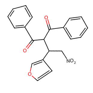 O=C(c1ccccc1)C(C(=O)c1ccccc1)C(C[N+](=O)[O-])c1ccoc1